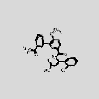 COc1ccc(C(=O)NC(CC(=O)O)c2ccccc2Cl)nc1-c1cccc(C(C)=O)c1